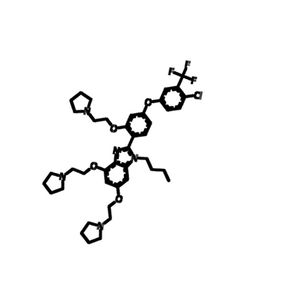 CCCCn1c(-c2ccc(Oc3ccc(Cl)c(C(F)(F)F)c3)cc2OCCN2CCCC2)nc2c(OCCN3CCCC3)cc(OCCN3CCCC3)cc21